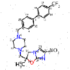 CC1(CN2CCN(Cc3ccc(-c4ccc(C(F)(F)F)cc4)cc3)CC2)Cn2cc([N+](=O)[O-])nc2O1